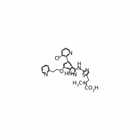 CN(Cc1cnc(Nc2n[nH]c3c(OCCc4ccccn4)cc(-c4ncccc4Cl)cc23)s1)C(=O)O